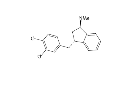 CN[C@@H]1C[C@@H](Cc2ccc(Cl)c(Cl)c2)c2ccccc21